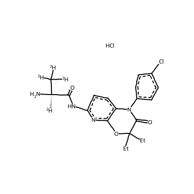 Cl.[2H]C([2H])([2H])[C@]([2H])(N)C(=O)Nc1ccc2c(n1)OC(CC)(CC)C(=O)N2c1ccc(Cl)cc1